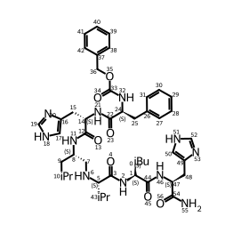 CC[C@H](C)[C@H](NC(=O)[C@@H](NC[C@H](CC(C)C)NC(=O)[C@H](Cc1c[nH]cn1)NC(=O)[C@H](Cc1ccccc1)NC(=O)OCc1ccccc1)C(C)C)C(=O)N[C@@H](Cc1c[nH]cn1)C(N)=O